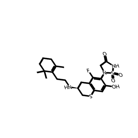 CC1=C(CCN[C@@H]2CSc3cc(O)c(N4CC(=O)NS4(=O)=O)c(F)c3C2)C(C)(C)CCC1